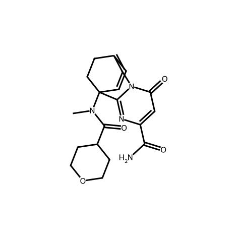 CN(C(=O)C1CCOCC1)C12C=CC(=Cn3c1nc(C(N)=O)cc3=O)CC2